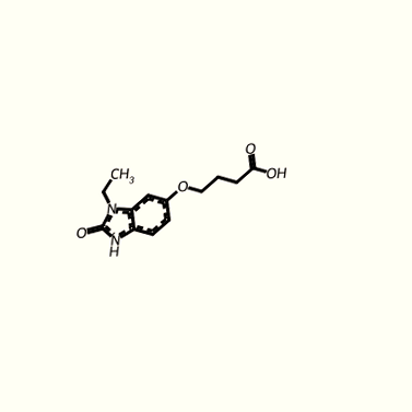 CCn1c(=O)[nH]c2ccc(OCCCC(=O)O)cc21